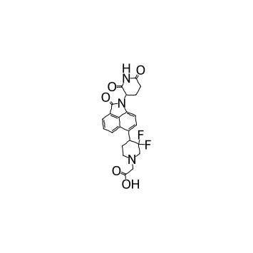 O=C(O)CN1CCC(c2ccc3c4c(cccc24)C(=O)N3C2CCC(=O)NC2=O)C(F)(F)C1